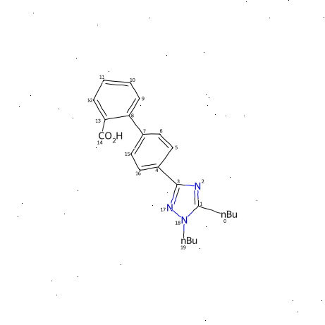 CCCCc1nc(-c2ccc(-c3ccccc3C(=O)O)cc2)nn1CCCC